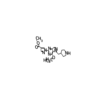 CCOC(=O)c1cnn(-c2nc(OC)c3c(cnn3CC3CCNCC3)n2)c1.Cl